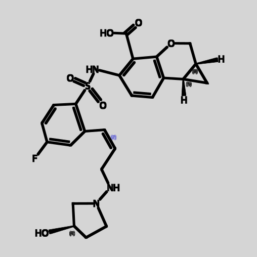 O=C(O)c1c(NS(=O)(=O)c2ccc(F)cc2/C=C\CNN2CC[C@@H](O)C2)ccc2c1OC[C@@H]1C[C@H]21